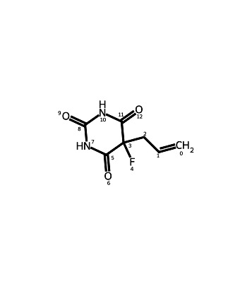 C=CCC1(F)C(=O)NC(=O)NC1=O